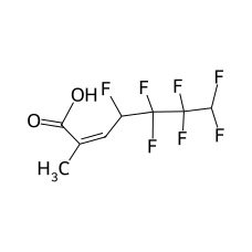 CC(=CC(F)C(F)(F)C(F)(F)C(F)F)C(=O)O